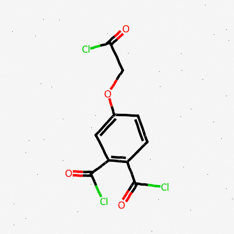 O=C(Cl)COc1ccc(C(=O)Cl)c(C(=O)Cl)c1